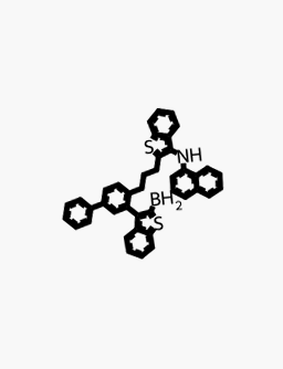 Bc1sc2ccccc2c1-c1cc(-c2ccccc2)ccc1CCCc1sc2ccccc2c1Nc1cccc2ccccc12